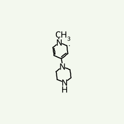 CN1[CH]C=C(N2CCNCC2)C=C1